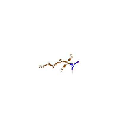 S=S(=S)(SSSS)N(I)I